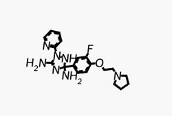 NC1=NC(N)(c2ccc(OCCN3CCCC3)c(F)c2)NN1c1ccccn1